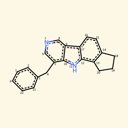 c1ccc(Cc2cncc3c2[nH]c2c4c(ccc23)CCC4)cc1